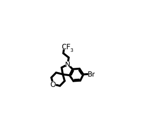 FC(F)(F)CCN1CC2(CCOCC2)c2ccc(Br)cc21